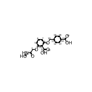 O=C(COc1cccc(OCc2ccc(C(=O)O)cc2)c1C(=O)O)NO